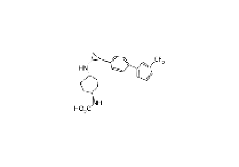 O=C(O)N[C@H]1CC[C@H](N[C@@H]2C[C@H]2c2ccc(-c3cccc(C(F)(F)F)c3)cc2)CC1